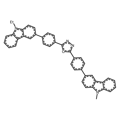 CCn1c2ccccc2c2cc(-c3ccc(-c4nnc(-c5ccc(-c6ccc7c(c6)c6ccccc6n7C)cc5)o4)cc3)ccc21